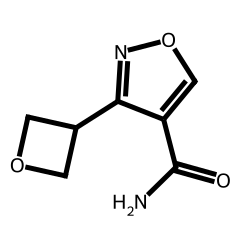 NC(=O)c1conc1C1COC1